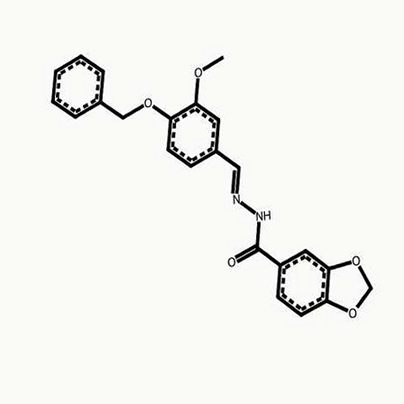 COc1cc(/C=N/NC(=O)c2ccc3c(c2)OCO3)ccc1OCc1ccccc1